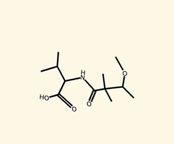 COC(C)C(C)(C)C(=O)NC(C(=O)O)C(C)C